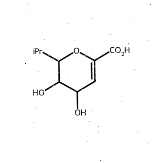 CC(C)C1OC(C(=O)O)=CC(O)C1O